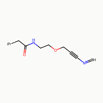 B=NC#CCOCCNC(=O)CC(C)C